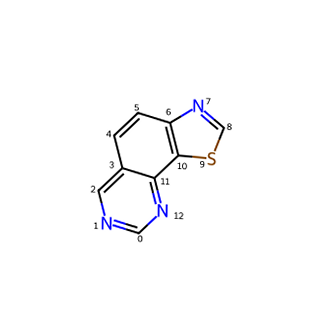 c1ncc2ccc3ncsc3c2n1